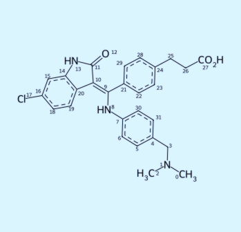 CN(C)Cc1ccc(NC(=C2C(=O)Nc3cc(Cl)ccc32)c2ccc(CCC(=O)O)cc2)cc1